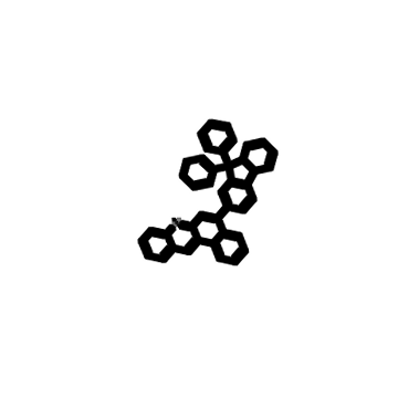 C1=CC2c3ccc(-c4cc5nc6ccccc6cc5c5ccccc45)cc3C(C3=CCCC=C3)(c3ccccc3)C2C=C1